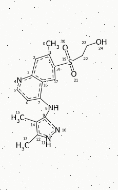 Cc1cc2nccc(Nc3n[nH]c(C)c3C)c2cc1S(=O)(=O)CCO